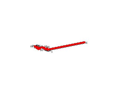 CCCN(CCC)C(=O)C1=Cc2ccc(-c3cccc(S(=O)(=O)N4CC(CNC(=O)OCc5ccc(NC(=O)[C@@H](NC(=O)[C@@H]6CCCN6C(=O)[C@@H](C)NC(=O)CCOCCOCCOCCOCCOCCOCCOCCOCCOCCOCCOCCOCCOCCOCCOCCOCCOCCOCCOCCOCCOCCOCCOCCOCCOCCC(C)=O)C(C)C)cc5)C4)c3)cc2N=C(N)C1